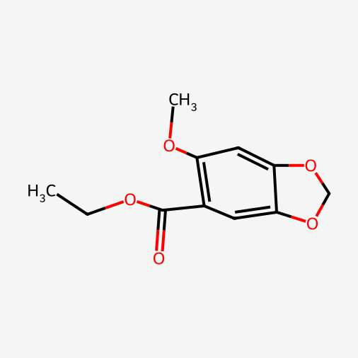 CCOC(=O)c1cc2c(cc1OC)OCO2